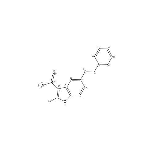 Cc1oc2ccc(OCc3ccccc3)cc2c1C(=N)N